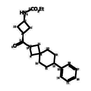 CCOC(=O)N[C@H]1C[C@@H](C(=O)N2CC3(CCC(c4ccccc4)CC3)C2)C1